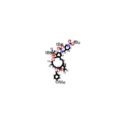 COc1ccc(CO[C@@H]2/C=C\[C@@H](C)[C@H](C)OC(=O)c3c(cc(N(CC4CCN(C(=O)OC(C)(C)C)CC4)C(=O)OC(C)(C)C)cc3O[Si](C)(C)C(C)(C)C)/C=C/C[C@@H]3CC(C)(C)O[C@@H]32)cc1